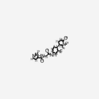 Cc1c(-c2ccc(NC(=O)CNC(=O)c3ccnn3C)cc2F)ccc(=O)n1C